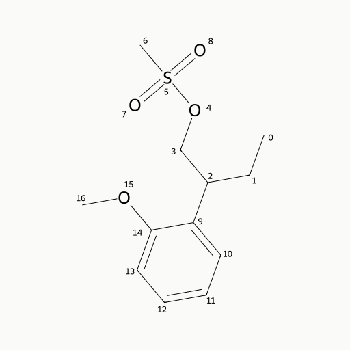 CCC(COS(C)(=O)=O)c1ccccc1OC